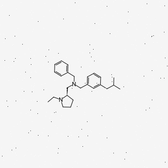 CCN1CCC[C@@H]1CN(Cc1ccccc1)Cc1cccc(CC(C)C)c1